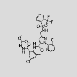 COC(=O)N(C)NC(=O)c1cc(Cl)cc(C)c1NC(=O)c1cc(CNS(=O)(=O)c2ccccc2C(F)(F)F)nn1-c1ncccc1Cl